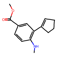 CNc1ccc(C(=O)OC)cc1C1=CCCC1